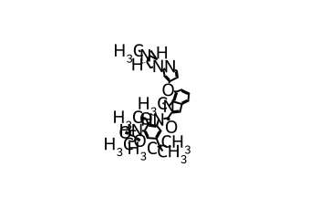 COc1c(NC(=O)c2cc3cccc(Oc4ccnc(N5C[C@@H]6C[C@H]5CN6C)c4)c3n2C)cc(C(C)(C)C)cc1NS(C)(=O)=O